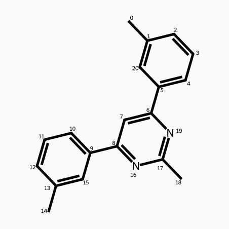 Cc1cccc(-c2cc(-c3cccc(C)c3)nc(C)n2)c1